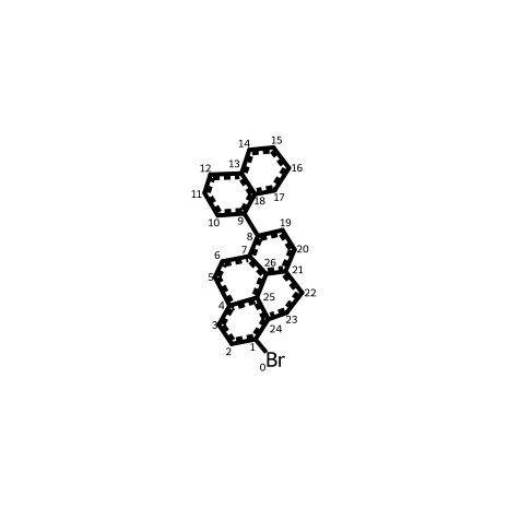 Brc1ccc2ccc3c(-c4cccc5ccccc45)ccc4ccc1c2c43